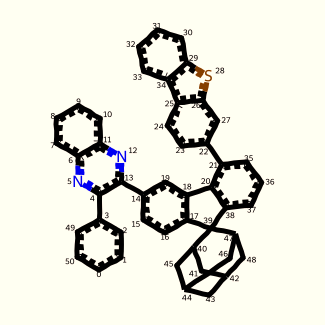 c1ccc(-c2nc3ccccc3nc2-c2ccc3c(c2)-c2c(-c4ccc5c(c4)sc4ccccc45)cccc2C32C3CC4CC(C3)CC2C4)cc1